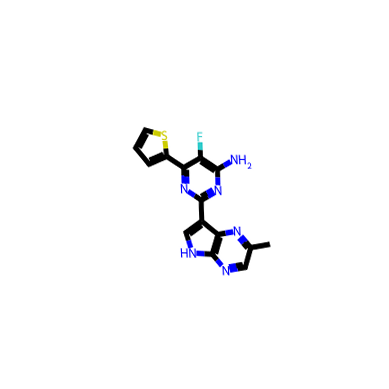 Cc1cnc2[nH]cc(-c3nc(N)c(F)c(-c4cccs4)n3)c2n1